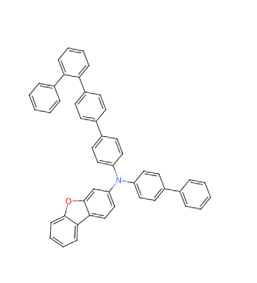 c1ccc(-c2ccc(N(c3ccc(-c4ccc(-c5ccccc5-c5ccccc5)cc4)cc3)c3ccc4c(c3)oc3ccccc34)cc2)cc1